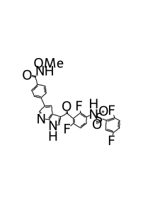 CONC(=O)c1ccc(-c2cnc3[nH]cc(C(=O)c4c(F)ccc(NS(=O)(=O)c5cc(F)ccc5F)c4F)c3c2)cc1